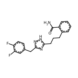 NC(=O)c1ccccc1CC[CH]c1nc(Cc2ccc(F)c(F)c2)n[nH]1